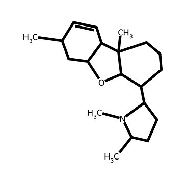 CC1C=CC2C(C1)OC1C(C3CCC(C)N3C)CCCC21C